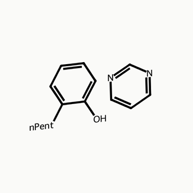 CCCCCc1ccccc1O.c1cncnc1